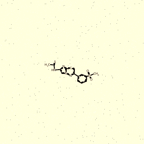 CC(=S)Nc1cn2nc(-c3cccc(S(C)(=O)=O)c3)ccc2n1